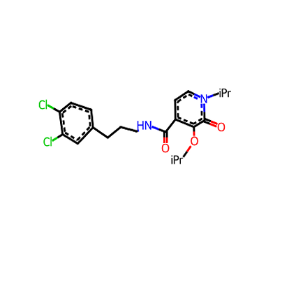 CC(C)Oc1c(C(=O)NCCCc2ccc(Cl)c(Cl)c2)ccn(C(C)C)c1=O